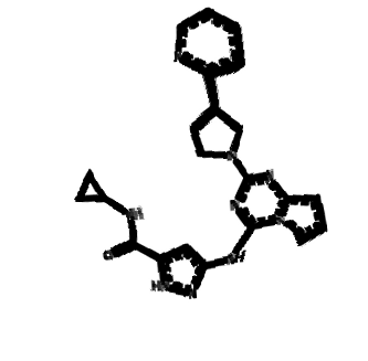 O=C(NC1CC1)c1cc(Nc2nc(N3CCC(c4ccccn4)C3)nc3cccn23)n[nH]1